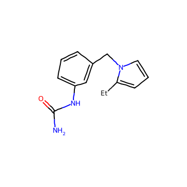 CCc1cccn1Cc1cccc(NC(N)=O)c1